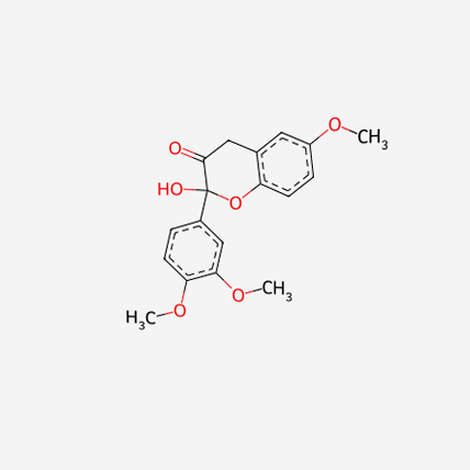 COc1ccc2c(c1)CC(=O)C(O)(c1ccc(OC)c(OC)c1)O2